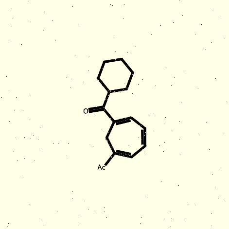 CC(=O)C1=CC=CC=C(C(=O)C2CCCCC2)C1